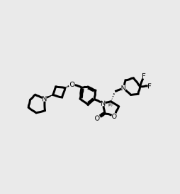 O=C1OC[C@@H](CN2CCC(F)(F)CC2)N1c1ccc(O[C@H]2C[C@H](N3CCCCC3)C2)cc1